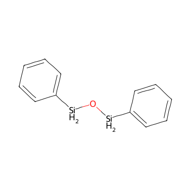 c1ccc([SiH2]O[SiH2]c2ccccc2)cc1